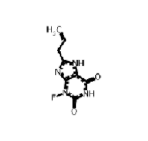 C=CCc1nc2c([nH]1)c(=O)[nH]c(=O)n2F